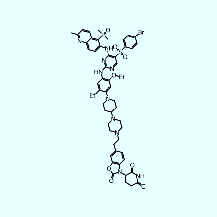 CCOc1cc(N2CCC(N3CCN(CCc4ccc5c(c4)oc(=O)n5C4CCC(=O)NC4=O)CC3)CC2)c(CC)cc1Nc1ncc(S(=O)(=O)c2ccc(Br)cc2)c(Nc2ccc3nc(C)ccc3c2P(C)(C)=O)n1